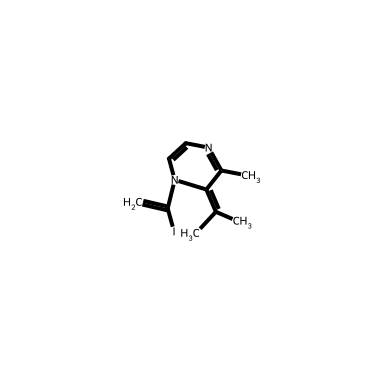 C=C(I)N1C=CN=C(C)C1=C(C)C